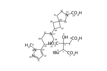 CC(C)(C)C(C(=O)O)C(O)(CC(=O)O)C(=O)O.Cn1nccc1C1CCN(C2CC3(CCN(C(=O)O)C3)C2)CC1